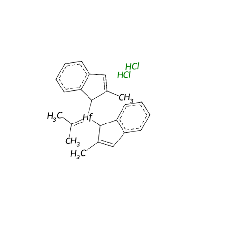 CC1=Cc2ccccc2[CH]1[Hf](=[C](C)C)[CH]1C(C)=Cc2ccccc21.Cl.Cl